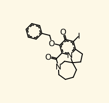 O=C1c2c(OCc3ccccc3)c(=O)c(I)c3n2C2(CCCCN1C2)CC3